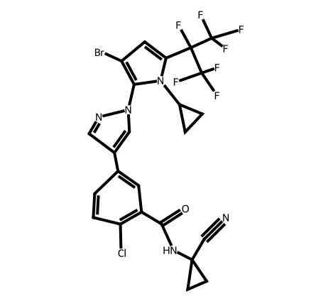 N#CC1(NC(=O)c2cc(-c3cnn(-c4c(Br)cc(C(F)(C(F)(F)F)C(F)(F)F)n4C4CC4)c3)ccc2Cl)CC1